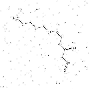 CCCCCC/C=C\C[C@@H](O)C[C]=O